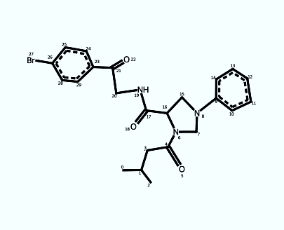 CC(C)[CH]C(=O)N1CN(c2ccccc2)CC1C(=O)NCC(=O)c1ccc(Br)cc1